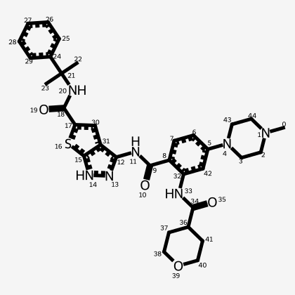 CN1CCN(c2ccc(C(=O)Nc3n[nH]c4sc(C(=O)NC(C)(C)c5ccccc5)cc34)c(NC(=O)C3CCOCC3)c2)CC1